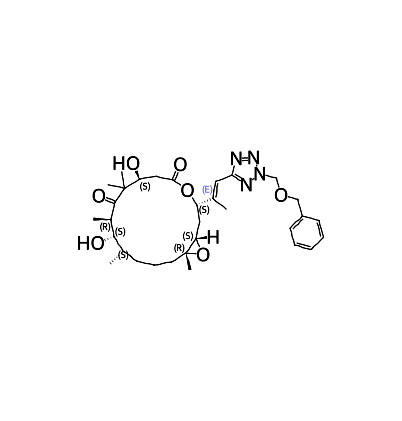 C/C(=C\c1nnn(COCc2ccccc2)n1)[C@@H]1C[C@@H]2O[C@]2(C)CCC[C@H](C)[C@H](O)[C@@H](C)C(=O)C(C)(C)[C@@H](O)CC(=O)O1